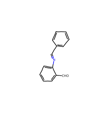 O=Cc1ccccc1N=Cc1ccccc1